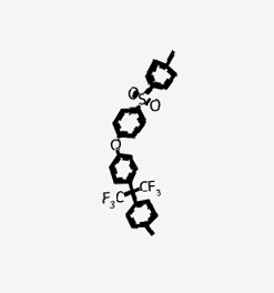 Cc1ccc(C(c2ccc(Oc3ccc(S(=O)(=O)c4ccc(C)cc4)cc3)cc2)(C(F)(F)F)C(F)(F)F)cc1